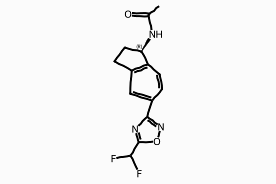 CC(=O)N[C@@H]1CCc2cc(-c3noc(C(F)F)n3)ccc21